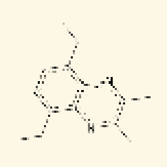 CCc1ccc(CC)c2nc(C)c(C)nc12